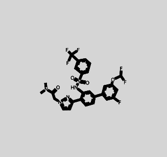 CN(C)C(=O)Cn1ccc(-c2ccc(-c3cc(F)cc(OC(F)F)c3)cc2NS(=O)(=O)c2cccc(C(F)(F)F)c2)n1